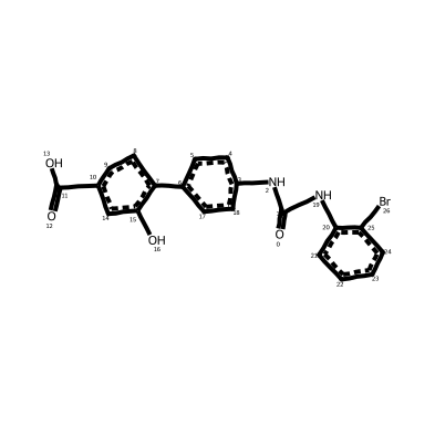 O=C(Nc1ccc(-c2ccc(C(=O)O)cc2O)cc1)Nc1ccccc1Br